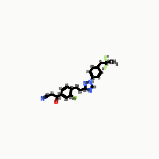 CC(F)(F)Cc1ccc(-n2cnc(CCc3ccc(C(=O)CC#N)cc3F)n2)cc1